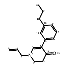 C=CCN1C=C(c2cccc(CCC)c2)C(=O)CC1